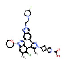 Cc1cc2c(cnn2C2CCCCO2)c(-c2c(-c3ccc4nn(CCN5CC[C@H](F)C5)cc4c3)nn(C3CC4(C3)CN(C(=O)O)C4)c2C)c1Cl